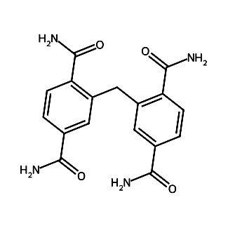 NC(=O)c1ccc(C(N)=O)c(Cc2cc(C(N)=O)ccc2C(N)=O)c1